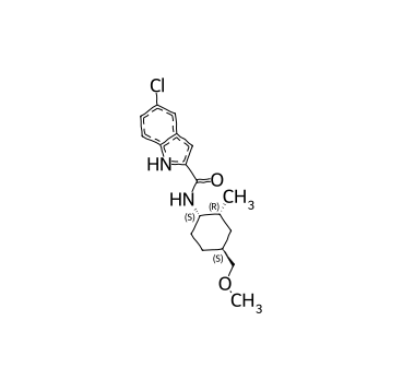 COC[C@H]1CC[C@H](NC(=O)c2cc3cc(Cl)ccc3[nH]2)[C@H](C)C1